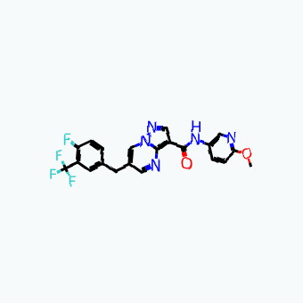 COc1ccc(NC(=O)c2cnn3cc(Cc4ccc(F)c(C(F)(F)F)c4)cnc23)cn1